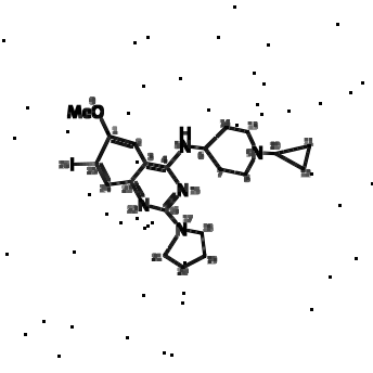 COc1cc2c(NC3CCN(C4CC4)CC3)nc(N3CCCC3)nc2cc1I